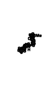 COC(=O)C12CCC(C)(C)CC1C1C(=O)C=C3C4(C)C=C(C#CNC5=CC6(C)C7=CC(=O)C8C9CC(C)(C)CCC9(C(=O)OC)CCC8(C)C7(C)CCC6C(C)(C)C5=O)C(=O)C(C)(C)C4CCC3(C)C1(C)CC2